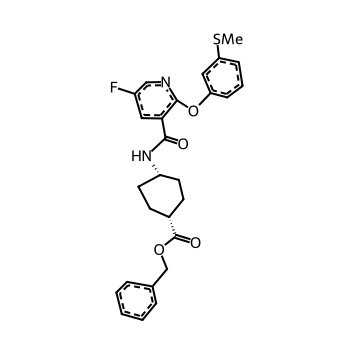 CSc1cccc(Oc2ncc(F)cc2C(=O)N[C@H]2CC[C@@H](C(=O)OCc3ccccc3)CC2)c1